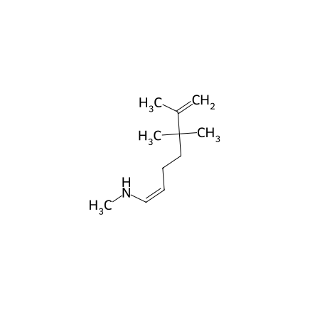 C=C(C)C(C)(C)CC/C=C\NC